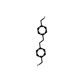 FCc1ccc(CCc2ccc(CF)cc2)cc1